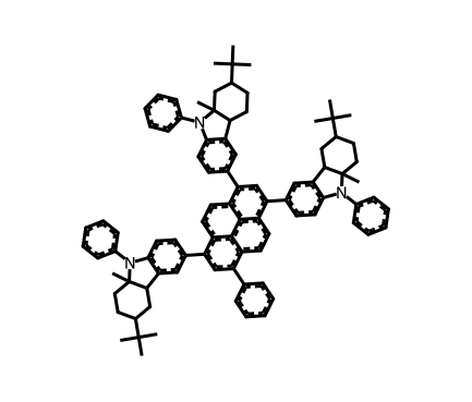 CC(C)(C)C1CCC2(C)C(C1)c1cc(-c3cc(-c4ccccc4)c4ccc5c(-c6ccc7c(c6)C6CC(C(C)(C)C)CCC6(C)N7c6ccccc6)cc(-c6ccc7c(c6)C6CCC(C(C)(C)C)CC6(C)N7c6ccccc6)c6ccc3c4c56)ccc1N2c1ccccc1